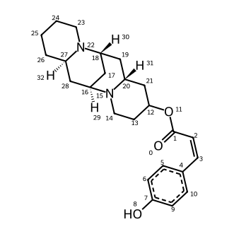 O=C(/C=C\c1ccc(O)cc1)OC1CCN2[C@@H]3C[C@@H](C[C@@H]2C1)N1CCCC[C@@H]1C3